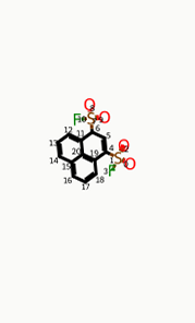 O=S(=O)(F)C1=CC(S(=O)(=O)F)c2cccc3cccc1c23